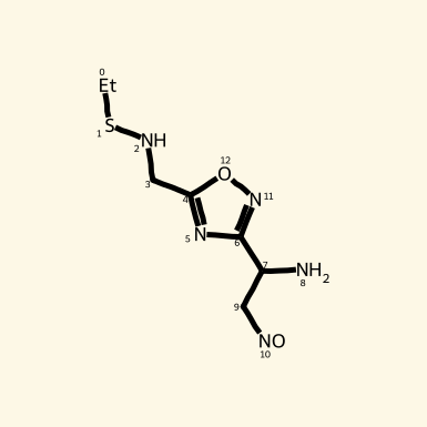 CCSNCc1nc(C(N)CN=O)no1